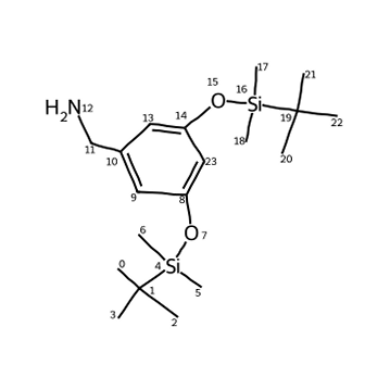 CC(C)(C)[Si](C)(C)Oc1cc(CN)cc(O[Si](C)(C)C(C)(C)C)c1